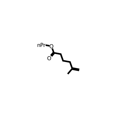 C=C(C)CCCC(=O)OCCC